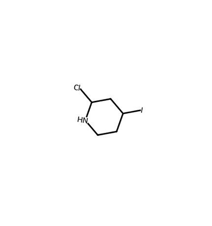 ClC1CC(I)CCN1